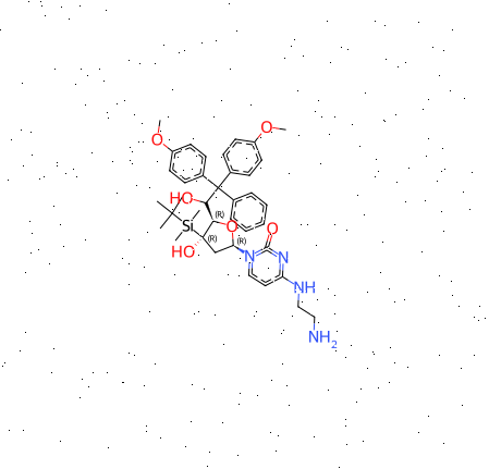 COc1ccc(C(c2ccccc2)(c2ccc(OC)cc2)C(O)[C@H]2O[C@@H](n3ccc(NCCN)nc3=O)C[C@@]2(O)[Si](C)(C)C(C)(C)C)cc1